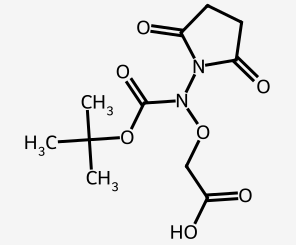 CC(C)(C)OC(=O)N(OCC(=O)O)N1C(=O)CCC1=O